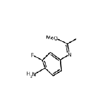 CO/C(C)=N\c1ccc(N)c(F)c1